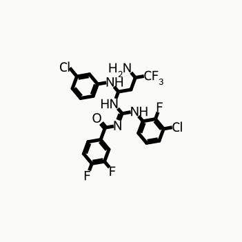 NC(CC(N/C(=N\C(=O)c1ccc(F)c(F)c1)Nc1cccc(Cl)c1F)Nc1cccc(Cl)c1)C(F)(F)F